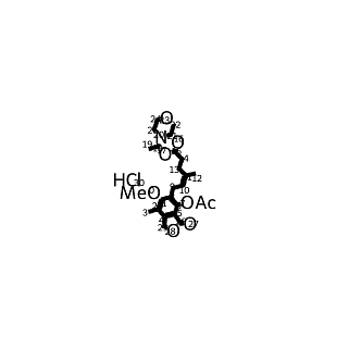 COc1c(C)c2c(c(OC(C)=O)c1CC=C(C)CCC(=O)OC(C)N1CCOCC1)C(=O)OC2.Cl